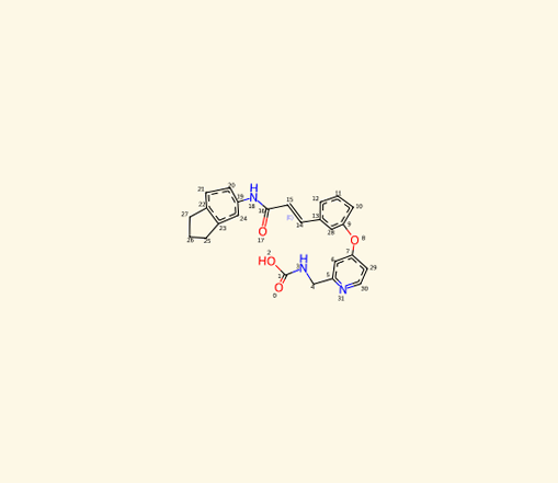 O=C(O)NCc1cc(Oc2cccc(/C=C/C(=O)Nc3ccc4c(c3)CCC4)c2)ccn1